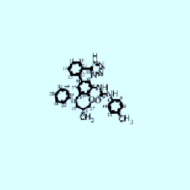 Cc1ccc(NC(=O)Nc2cc(-c3ccccc3-c3nnn[nH]3)cc3c2OC[C@H](C)C[C@@H]3c2ccccc2)cc1